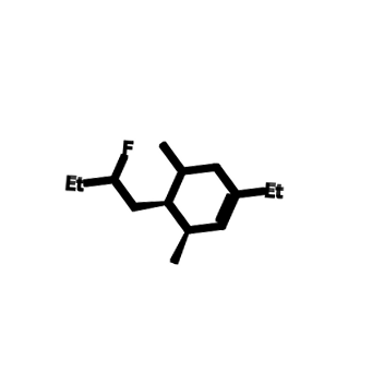 CCC1=C[C@@H](C)[C@@H](CC(F)CC)C(C)C1